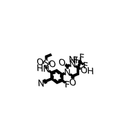 CCS(=O)(=O)Nc1cc(N2C(=O)CC(O)(C(F)(F)F)N(N)C2=O)c(F)cc1C#N